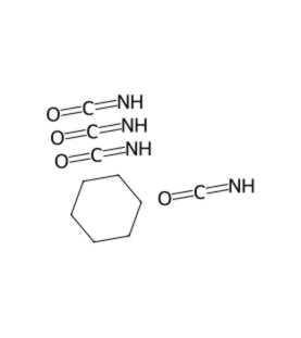 C1CCCCC1.N=C=O.N=C=O.N=C=O.N=C=O